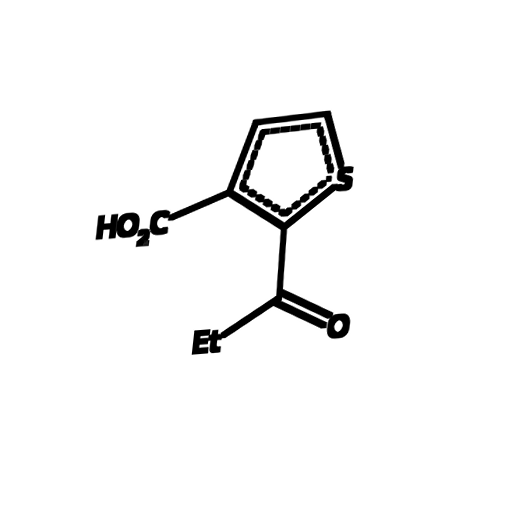 CCC(=O)c1sccc1C(=O)O